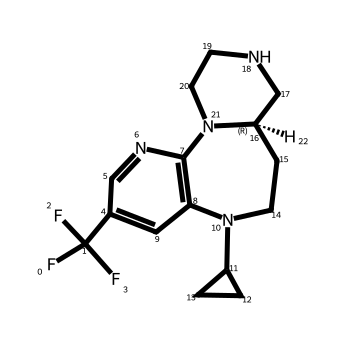 FC(F)(F)c1cnc2c(c1)N(C1CC1)CC[C@@H]1CNCCN21